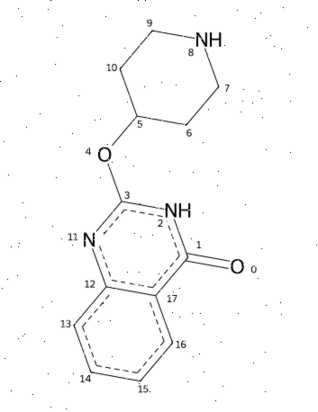 O=c1[nH]c(OC2CCNCC2)nc2ccccc12